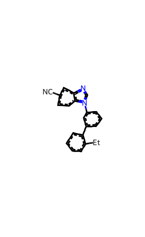 CCc1ccccc1-c1cccc(-n2cnc3cc(C#N)ccc32)c1